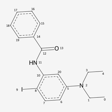 CCN(CC)c1ccc(I)c(NC(=O)c2ccccc2)c1